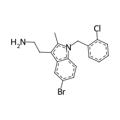 Cc1c(CCN)c2cc(Br)ccc2n1Cc1ccccc1Cl